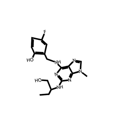 CCC(CO)Nc1nc(NCc2cc(F)ccc2O)c2ncn(C)c2n1